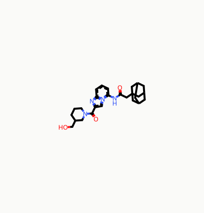 O=C(CC12CC3CC(CC(C3)C1)C2)Nc1cccc2nc(C(=O)N3CCCC(CO)C3)cn12